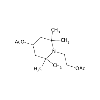 CC(=O)OCCN1C(C)(C)CC(OC(C)=O)CC1(C)C